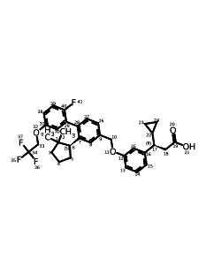 CC1(C)CCC[C@@H]1c1cc(COc2cccc([C@H](CC(=O)O)C3CC3)c2)ccc1-c1cc(OCC(F)(F)F)ccc1F